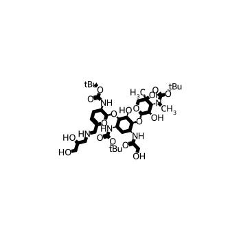 CN(C(=O)OC(C)(C)C)[C@@H]1[C@@H](O)[C@@H](O[C@@H]2[C@@H](O)[C@H](O[C@H]3OC(CNCC(O)CO)=CC[C@H]3NC(=O)OC(C)(C)C)[C@@H](NC(=O)OC(C)(C)C)C[C@H]2NC(=O)CO)OC[C@]1(C)O